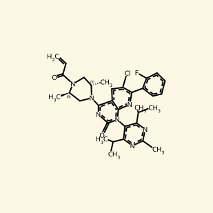 C=CC(=O)N1C[C@H](C)N(c2nc(=O)n(-c3c(C(C)C)nc(C)nc3C(C)C)c3nc(-c4ccccc4F)c(Cl)cc23)C[C@H]1C